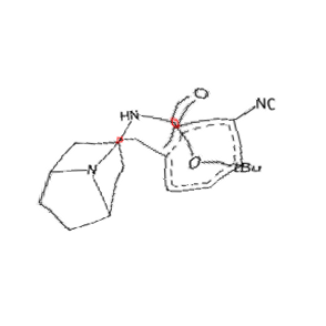 [C-]#[N+]c1cccc(CN2C3CCC2CC(NC(=O)OC(C)(C)C)C3)c1